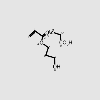 C=CC(=O)OCCCO.CC(=O)CC(=O)O